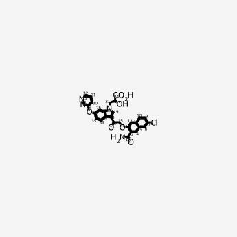 NC(=O)c1cc2cc(Cl)ccc2cc1OCC(=O)c1cn(CC(O)C(=O)O)c2cc(Oc3cccnn3)ccc12